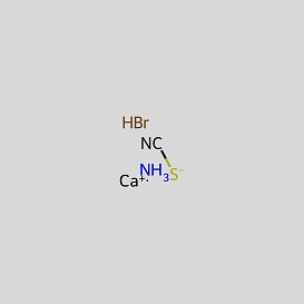 Br.N.N#C[S-].[Ca+]